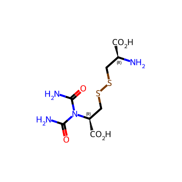 NC(=O)N(C(N)=O)[C@@H](CSSC[C@H](N)C(=O)O)C(=O)O